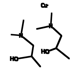 CC(O)CN(C)C.CC(O)CN(C)C.[Cu]